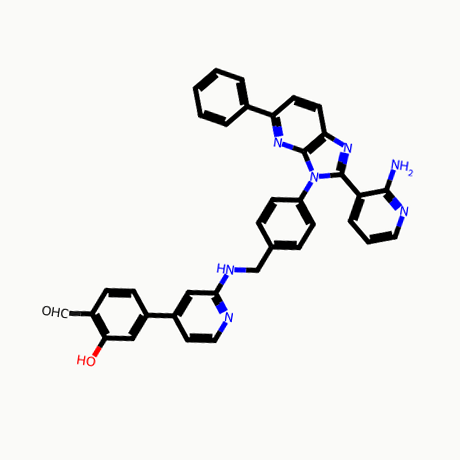 Nc1ncccc1-c1nc2ccc(-c3ccccc3)nc2n1-c1ccc(CNc2cc(-c3ccc(C=O)c(O)c3)ccn2)cc1